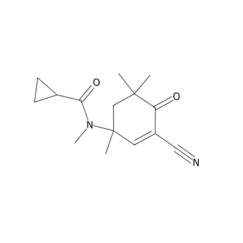 CN(C(=O)C1CC1)C1(C)C=C(C#N)C(=O)C(C)(C)C1